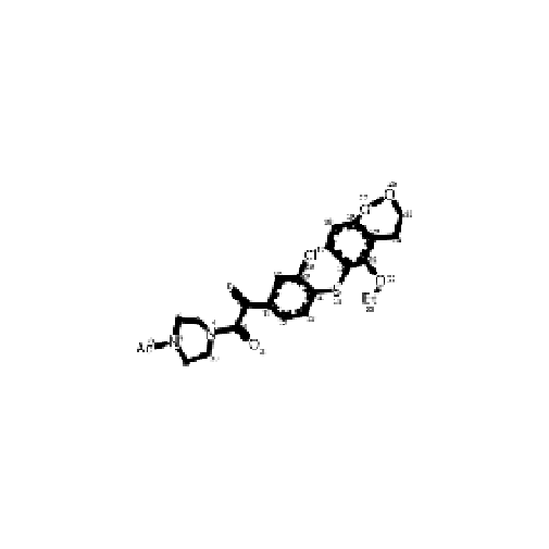 C=C(C(=O)N1CCN(C(C)=O)CC1)c1ccc(Sc2ccc3c(c2OCC)CCOO3)c(Cl)c1